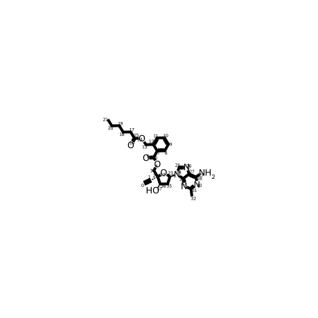 C#C[C@]1(COC(=O)c2ccccc2COC(=O)CCCCC)O[C@@H](n2cnc3c(N)nc(C)nc32)C[C@@H]1O